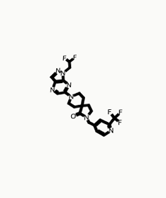 O=C1N(Cc2ccnc(C(F)(F)F)c2)CCC12CCN(c1cnc3cnn(CC(F)F)c3n1)CC2